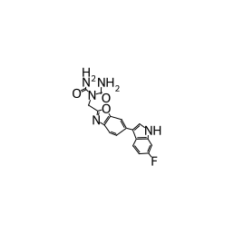 NC(=O)N(Cc1nc2ccc(-c3c[nH]c4cc(F)ccc34)cc2o1)C(N)=O